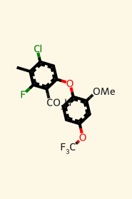 COc1cc(OC(F)(F)F)ccc1Oc1cc(Cl)c(C)c(F)c1C(=O)O